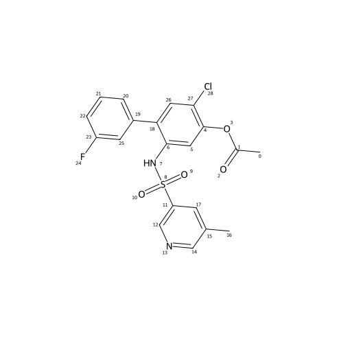 CC(=O)Oc1cc(NS(=O)(=O)c2cncc(C)c2)c(-c2cccc(F)c2)cc1Cl